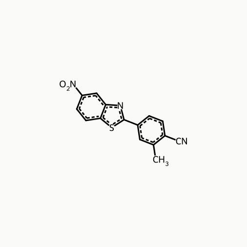 Cc1cc(-c2nc3cc([N+](=O)[O-])ccc3s2)ccc1C#N